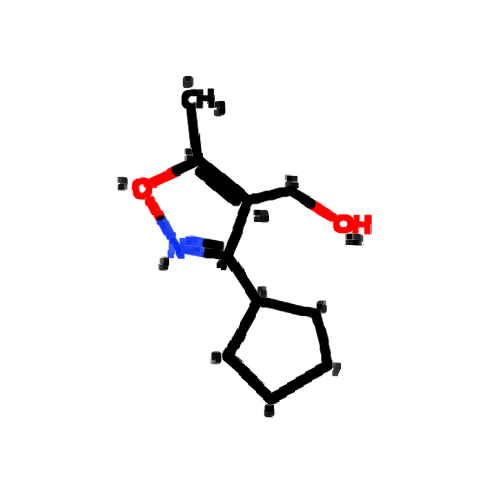 Cc1onc(C2CCCC2)c1CO